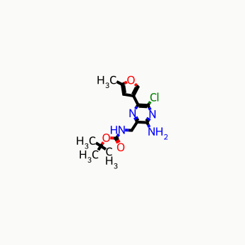 Cc1cc(-c2nc(CNC(=O)OC(C)(C)C)c(N)nc2Cl)co1